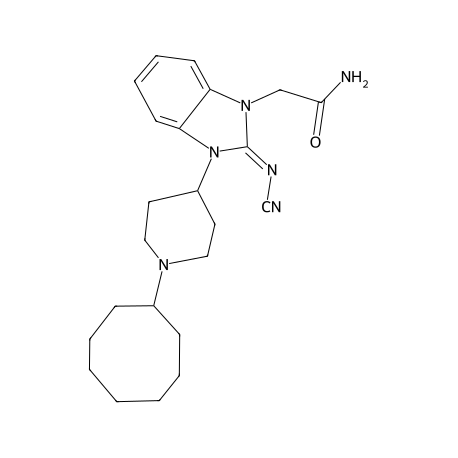 N#CN=c1n(CC(N)=O)c2ccccc2n1C1CCN(C2CCCCCCC2)CC1